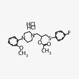 COc1ccccc1N1CCN(CC(CSc2ccc(F)cc2)OC(C)=O)CC1.Cl.Cl